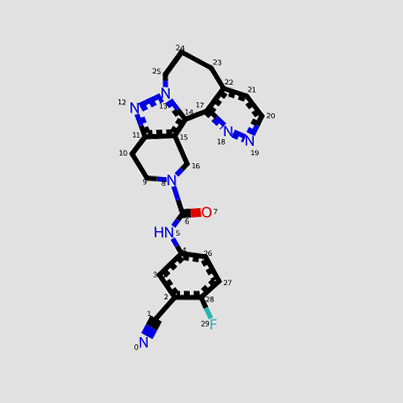 N#Cc1cc(NC(=O)N2CCc3nn4c(c3C2)-c2nnccc2CCC4)ccc1F